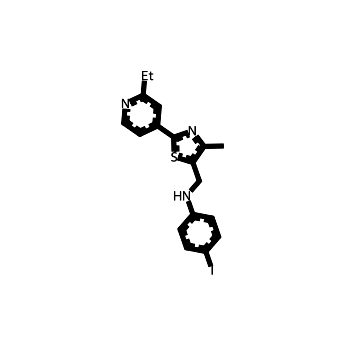 CCc1cc(-c2nc(C)c(CNc3ccc(I)cc3)s2)ccn1